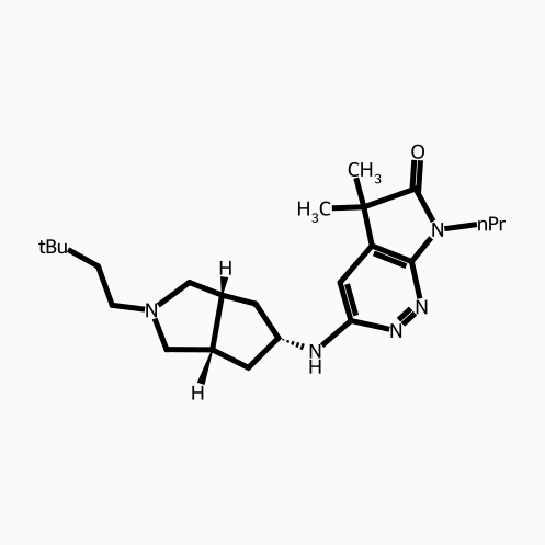 CCCN1C(=O)C(C)(C)c2cc(N[C@@H]3C[C@@H]4CN(CCC(C)(C)C)C[C@@H]4C3)nnc21